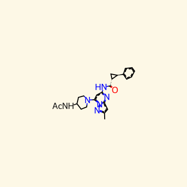 CC(=O)NC1CCN(c2cc(NC(=O)[C@@H]3C[C@H]3c3ccccc3)nc3cc(C)nn23)CC1